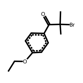 CCOc1ccc(C(=O)C(C)(C)Br)cc1